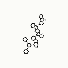 c1ccc(-c2cc(-c3ccccc3)cc(-c3cccc4c3-c3cccc(-n5c6ccccc6c6cc7c(cc65)c5ccccc5n7-c5ccc6oc7ccccc7c6c5)c3C4)c2)cc1